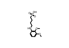 COc1cccc(NCCCCS(=O)(=O)O)c1OC